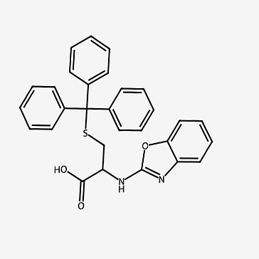 O=C(O)C(CSC(c1ccccc1)(c1ccccc1)c1ccccc1)Nc1nc2ccccc2o1